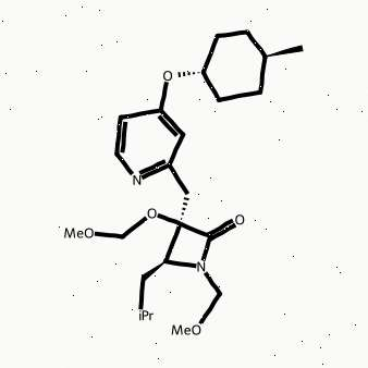 COCO[C@@]1(Cc2cc(O[C@H]3CC[C@H](C)CC3)ccn2)C(=O)N(COC)[C@H]1CC(C)C